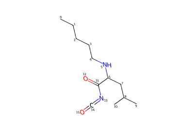 CCCCCNC(CC(C)C)C(=O)N=C=O